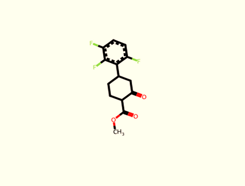 COC(=O)C1CCC(c2c(F)ccc(F)c2F)CC1=O